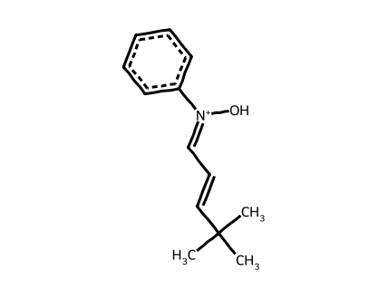 CC(C)(C)/C=C/C=[N+](\O)c1ccccc1